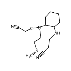 C=NCCN(CCC#N)C1CCCCC1NCCC#N